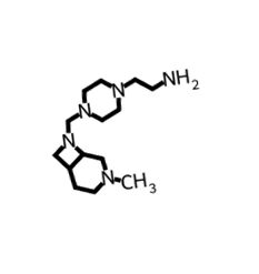 CN1CCC2CN(CN3CCN(CCN)CC3)C2C1